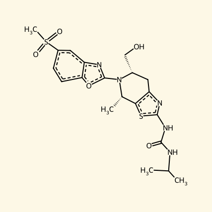 CC(C)NC(=O)Nc1nc2c(s1)[C@H](C)N(c1nc3cc(S(C)(=O)=O)ccc3o1)[C@H](CO)C2